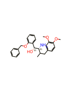 COc1ccc(CC(C)[C@@H](N)[C@H](O)c2ccccc2OCc2ccccc2)cc1OC